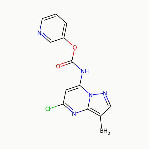 Bc1cnn2c(NC(=O)Oc3cccnc3)cc(Cl)nc12